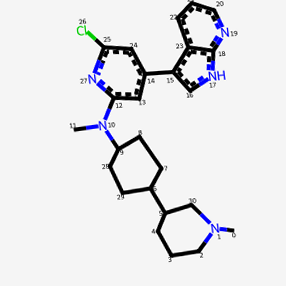 CN1CCCC(C2CCC(N(C)c3cc(-c4c[nH]c5ncccc45)cc(Cl)n3)CC2)C1